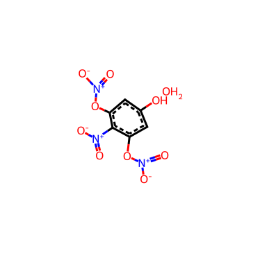 O.O=[N+]([O-])Oc1cc(O)cc(O[N+](=O)[O-])c1[N+](=O)[O-]